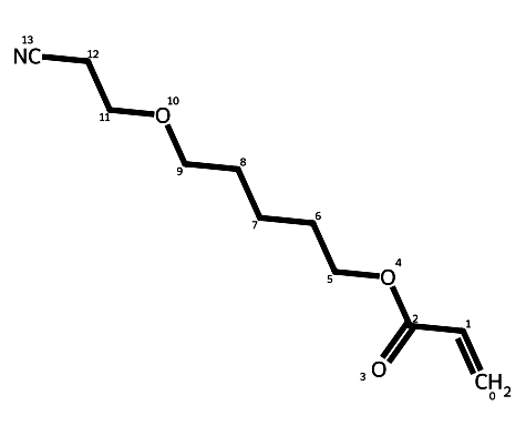 C=CC(=O)OCCCCCOCCC#N